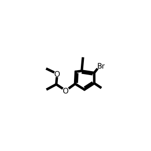 COC(C)Oc1cc(C)c(Br)c(C)c1